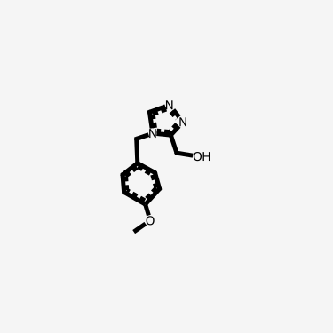 COc1ccc(Cn2cnnc2CO)cc1